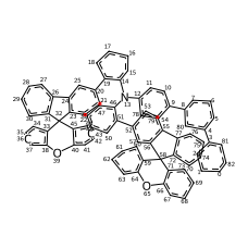 c1ccc(-c2cccc(-c3ccc(N(c4ccccc4-c4ccc5c(c4)-c4ccccc4C54c5ccccc5Oc5ccccc54)c4ccccc4-c4ccc5c(c4)C4(c6ccccc6Oc6ccccc64)c4ccccc4-5)cc3)c2)cc1